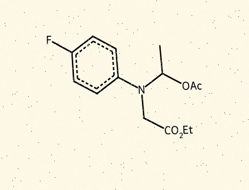 CCOC(=O)CN(c1ccc(F)cc1)C(C)OC(C)=O